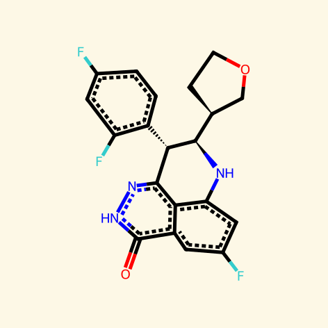 O=c1[nH]nc2c3c(cc(F)cc13)N[C@H]([C@H]1CCOC1)[C@H]2c1ccc(F)cc1F